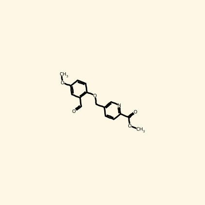 COC(=O)c1ccc(COc2ccc(OC)cc2C=O)cn1